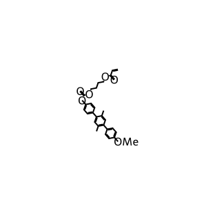 C=CC(=O)OCCCCOC(=O)Oc1ccc(-c2cc(C)c(-c3ccc(OC)cc3)cc2C)cc1